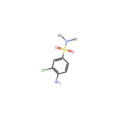 CCN(CC)S(=O)(=O)c1ccc(N)c(Cl)c1